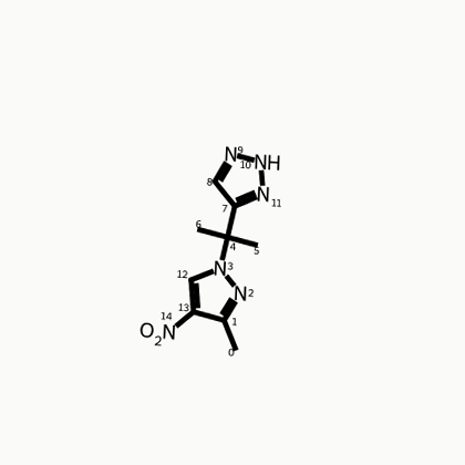 Cc1nn(C(C)(C)c2cn[nH]n2)cc1[N+](=O)[O-]